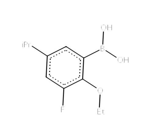 CCOc1c(F)cc(C(C)C)cc1B(O)O